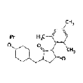 Cc1cc(C)c(C2C(=O)CC(CC3CCC(OC(C)C)CC3)C2=O)c(C)c1